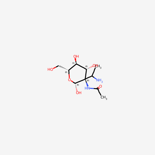 CC(=O)N[C@@]1(C(C)N)[C@H](O)O[C@H](CO)[C@@H](O)[C@@H]1O